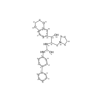 OC(Nc1ccc(-c2ccccc2)cc1)NC(CN1CCCC1)C(O)c1ccc2c(c1)OCCO2